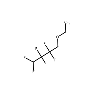 FC(F)C(F)(F)C(F)(F)COCC(F)(F)F